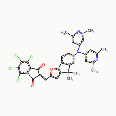 Cc1cc(N(c2cc(C)nc(C)c2)c2ccc3c(c2)C(C)(C)c2cc(C=C4C(=O)c5c(Cl)c(Cl)c(Cl)c(Cl)c5C4=O)oc2-3)cc(C)n1